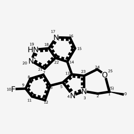 C[C@H]1Cn2nc(-c3ccc(F)cc3)c(-c3ccnc4[nH]ncc34)c2CO1